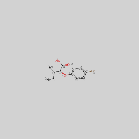 [2H]CC([2H])[C@H](Oc1ccc(Br)cc1)C(=O)O